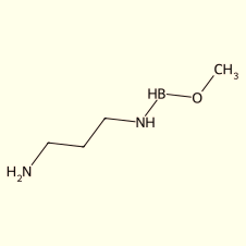 COBNCCCN